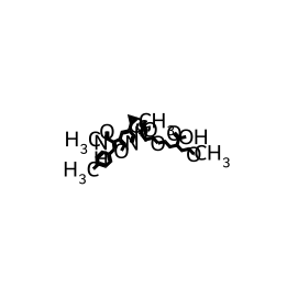 CNC(=O)c1c(-c2ccc(C)cc2)oc2nc(N(CCOCCC(CCOC)C(=O)O)S(C)(=O)=O)c(C3CC3)cc12